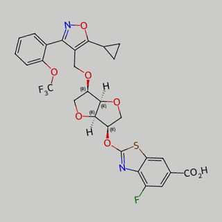 O=C(O)c1cc(F)c2nc(O[C@@H]3CO[C@H]4[C@@H]3OC[C@H]4OCc3c(-c4ccccc4OC(F)(F)F)noc3C3CC3)sc2c1